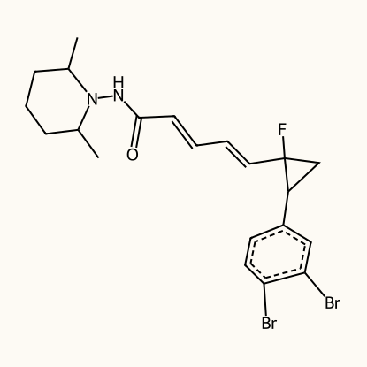 CC1CCCC(C)N1NC(=O)/C=C/C=C/C1(F)CC1c1ccc(Br)c(Br)c1